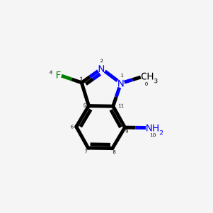 Cn1nc(F)c2cccc(N)c21